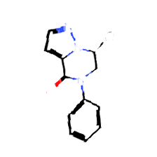 C[C@H]1CN(c2ccccc2)C(=O)c2ccnn21